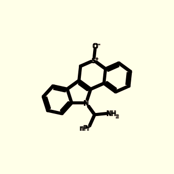 CCCC(N)n1c2c(c3ccccc31)C[S+]([O-])c1ccccc1-2